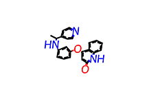 CC(Nc1cccc(Oc2cc(=O)[nH]c3ccccc23)c1)c1ccncc1